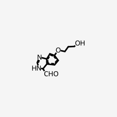 O=CC1NC=Nc2cc(OCCCO)ccc21